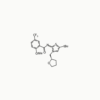 COc1ccc(C(F)(F)F)cc1C(=O)N=c1sc(C(C)(C)C)cn1C[C@H]1CCCO1